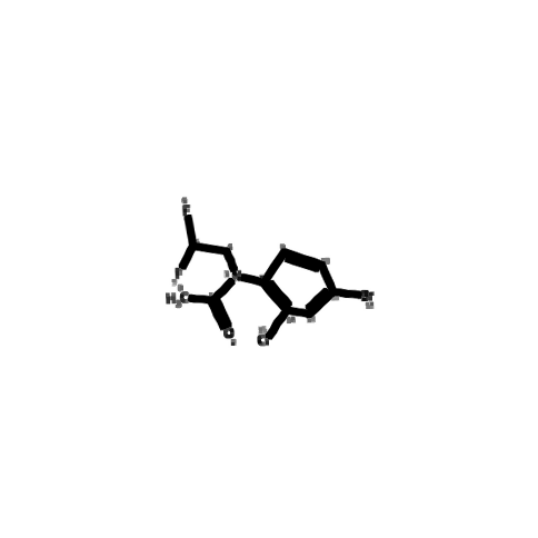 CC(=O)N(CC(F)F)c1ccc(Br)cc1Cl